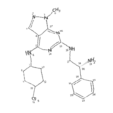 Cn1ncc2c(NC3CCC(C(F)(F)F)CC3)nc(NC[C@H](N)c3ccccc3)nc21